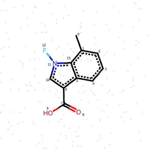 Cc1cccc2c(C(=O)O)cn(F)c12